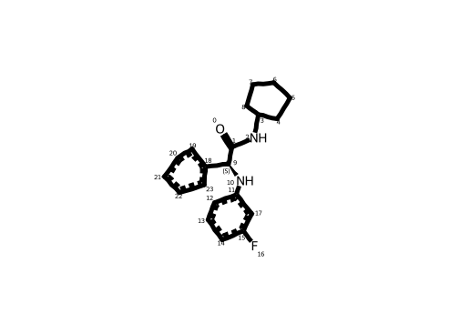 O=C(NC1CCCCC1)[C@@H](Nc1cccc(F)c1)c1ccccc1